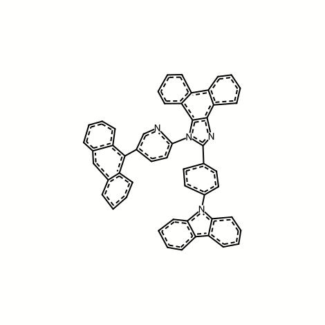 c1ccc2c(-c3ccc(-n4c(-c5ccc(-n6c7ccccc7c7ccccc76)cc5)nc5c6ccccc6c6ccccc6c54)nc3)c3ccccc3cc2c1